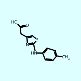 Cc1ccc(Nc2nc(CC(=O)O)cs2)cc1